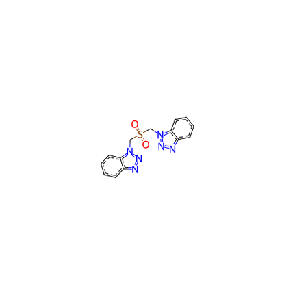 O=S(=O)(Cn1nnc2ccccc21)Cn1nnc2ccccc21